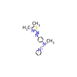 CCN(CC[n+]1ccccc1)c1ccc(N=Nc2nc(C)c(C)s2)cc1